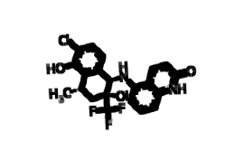 C[C@H]1C[C@@](O)(C(F)(F)F)[C@H](Nc2cccc3[nH]c(=O)ccc23)c2ccc(Cl)c(O)c21